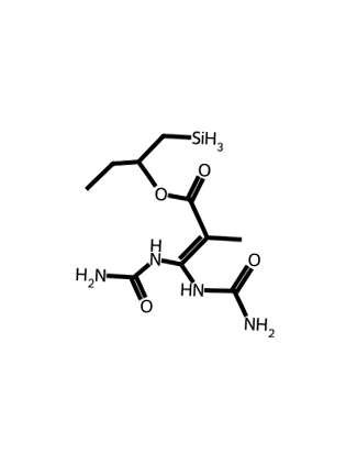 CCC(C[SiH3])OC(=O)C(C)=C(NC(N)=O)NC(N)=O